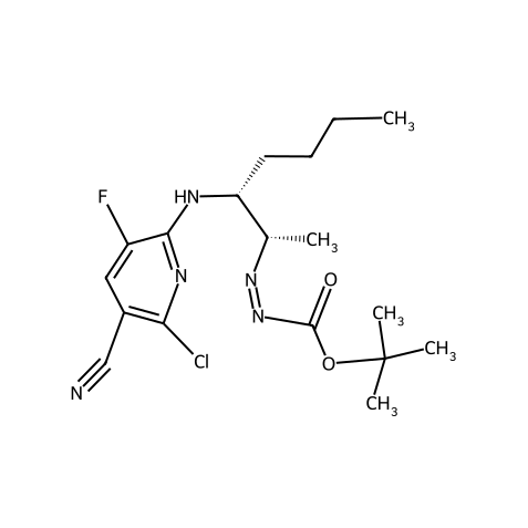 CCCC[C@@H](Nc1nc(Cl)c(C#N)cc1F)[C@H](C)N=NC(=O)OC(C)(C)C